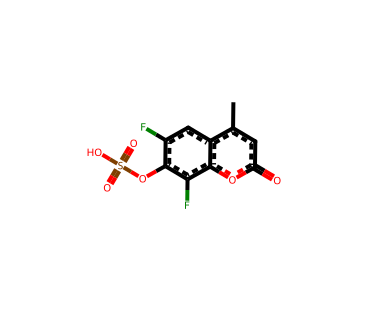 Cc1cc(=O)oc2c(F)c(OS(=O)(=O)O)c(F)cc12